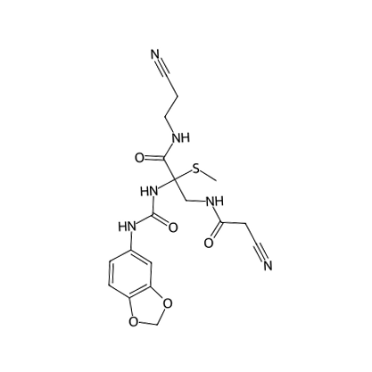 CSC(CNC(=O)CC#N)(NC(=O)Nc1ccc2c(c1)OCO2)C(=O)NCCC#N